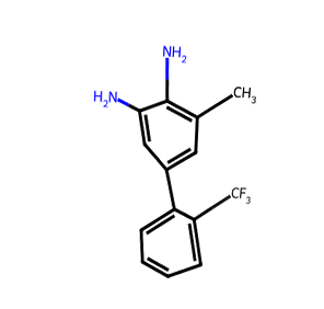 Cc1cc(-c2ccccc2C(F)(F)F)cc(N)c1N